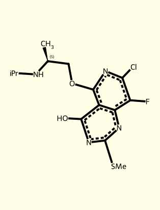 CSc1nc(O)c2c(OC[C@H](C)NC(C)C)nc(Cl)c(F)c2n1